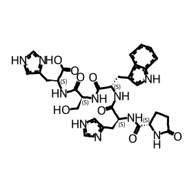 O=C1CC[C@@H](C(=O)N[C@@H](Cc2c[nH]cn2)C(=O)N[C@@H](Cc2c[nH]c3ccccc23)C(=O)N[C@@H](CO)C(=O)N[C@@H](Cc2c[nH]cn2)C(=O)O)N1